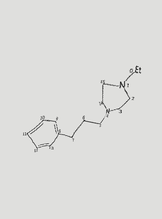 [CH2]CN1CCN(CCCc2ccccc2)CC1